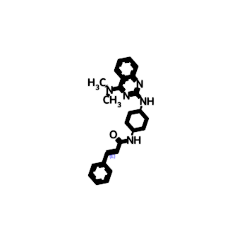 CN(C)c1nc(N[C@H]2CC[C@@H](NC(=O)/C=C/c3ccccc3)CC2)nc2ccccc12